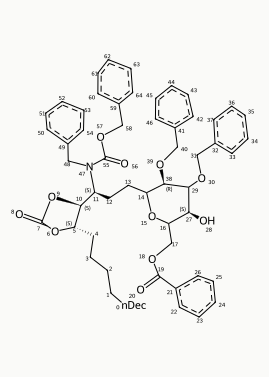 CCCCCCCCCCCCCC[C@@H]1OC(=O)O[C@H]1[C@H](CCC1OC(COC(=O)c2ccccc2)[C@H](O)C(OCc2ccccc2)[C@@H]1OCc1ccccc1)N(Cc1ccccc1)C(=O)OCc1ccccc1